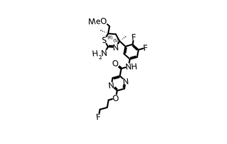 COC[C@@]1(C)C[C@@](C)(c2cc(NC(=O)c3cnc(OCCCF)cn3)cc(F)c2F)N=C(N)S1